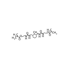 C=C(C)C(=O)OCCNC(=O)NCC1CCCC(CNC(=O)NCCOC(=O)C(=C)C)C1C